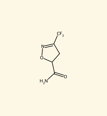 NC(=O)C1CC(C(F)(F)F)=NO1